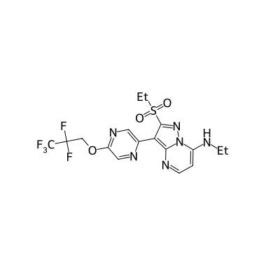 CCNc1ccnc2c(-c3cnc(OCC(F)(F)C(F)(F)F)cn3)c(S(=O)(=O)CC)nn12